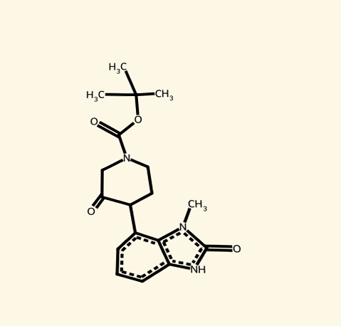 Cn1c(=O)[nH]c2cccc(C3CCN(C(=O)OC(C)(C)C)CC3=O)c21